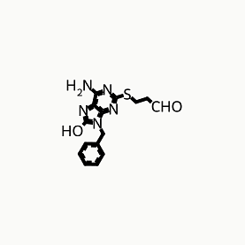 Nc1nc(SCCC=O)nc2c1nc(O)n2Cc1ccccc1